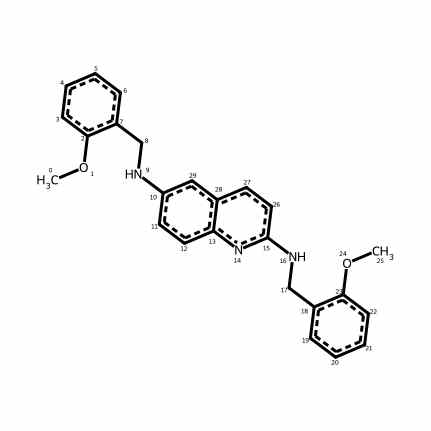 COc1ccccc1CNc1ccc2nc(NCc3ccccc3OC)ccc2c1